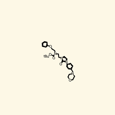 CC(C)(C)OC(=O)N(CCOc1ccccc1)CCn1ccn(-c2ccc(CN3CCOCC3)cc2)c1=O